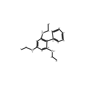 CCOc1cc(OCC)c(-c2ccccc2)c(OCC)c1